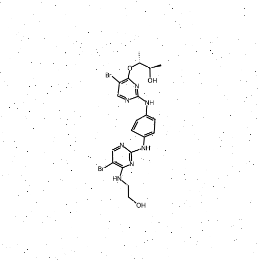 C[C@@H](O)[C@@H](C)Oc1nc(Nc2ccc(Nc3ncc(Br)c(NCCO)n3)cc2)ncc1Br